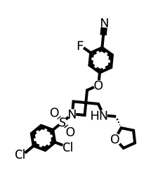 N#Cc1ccc(OCC2(CNC[C@@H]3CCCO3)CN(S(=O)(=O)c3ccc(Cl)cc3Cl)C2)cc1F